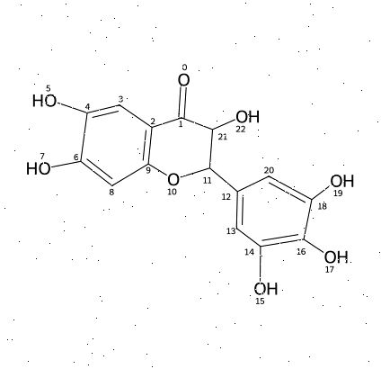 O=C1c2cc(O)c(O)cc2OC(c2cc(O)c(O)c(O)c2)C1O